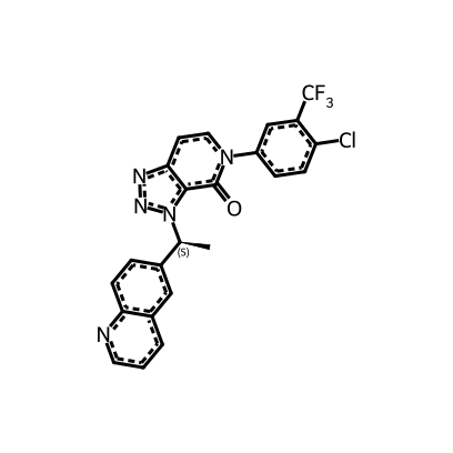 C[C@@H](c1ccc2ncccc2c1)n1nnc2ccn(-c3ccc(Cl)c(C(F)(F)F)c3)c(=O)c21